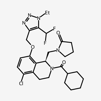 CCn1nnc(COc2ccc(Cl)c3c2[C@@H](CN2CCCC2=O)N(C(=O)C2CCCCC2)CC3)c1C(F)F